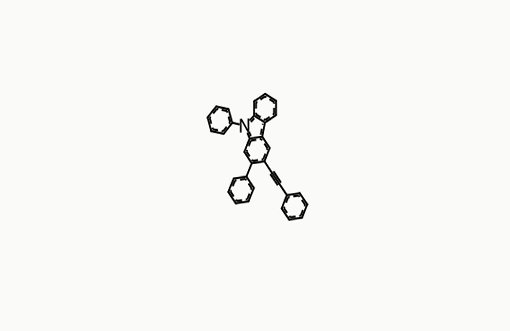 C(#Cc1cc2c3ccccc3n(-c3ccccc3)c2cc1-c1ccccc1)c1ccccc1